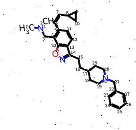 CN(C)Cc1c(/C=C\C2CC2)ccc2c(CCC3CCN(Cc4ccccc4)CC3)noc12